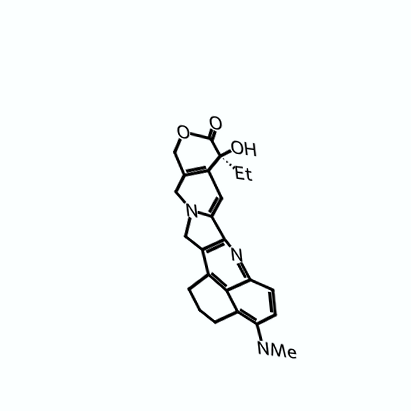 CC[C@@]1(O)C(=O)OCC2=C1C=C1c3nc4ccc(NC)c5c4c(c3CN1C2)CCC5